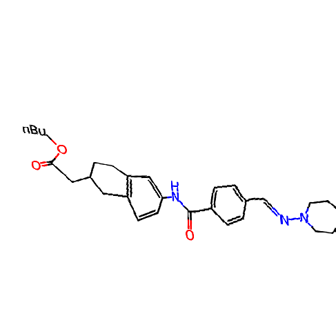 CCCCOC(=O)CC1CCc2cc(NC(=O)c3ccc(C=NN4CCCCC4)cc3)ccc2C1